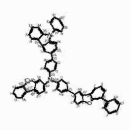 c1ccc(-c2cccc3c2oc2ccc(-c4ccc(N(c5ccc(-c6ccc7c(c6)c6ccccc6n7-c6ccccc6)cc5)c5ccc6c(c5)oc5ccccc56)cc4)cc23)cc1